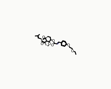 CCOCCOc1ccc(/C=C/C(=O)O[C@@H]2CC[C@]3(CO3)C([C@]3(C)O[C@H]3CC=C(C)C)[C@@H]2OC)cc1